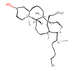 CC(C)CCC[C@@H](C)[C@H]1CC[C@@]2(CC(=O)O)[C@@H]3CCC4CC(O)CC[C@]4(C)[C@H]3CC[C@]12C